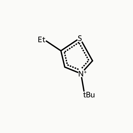 CCc1c[n+](C(C)(C)C)cs1